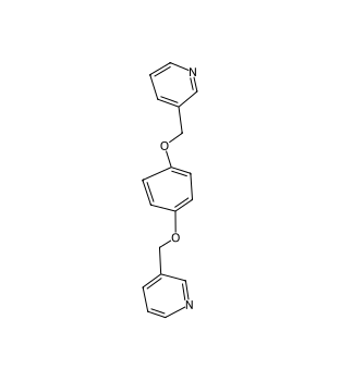 c1cncc(COc2ccc(OCc3cccnc3)cc2)c1